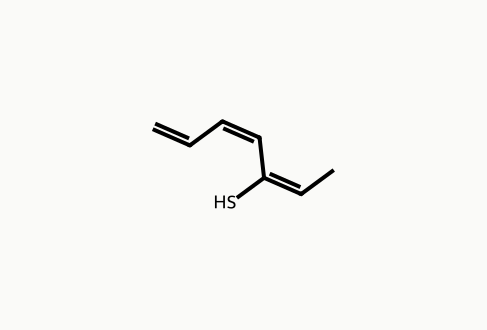 C=C/C=C\C(S)=C/C